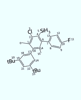 Cc1c(Cl)c([SiH3])c(-c2ccc(F)cc2)c(C)c1-c1cc(C(C)(C)C)cc(C(C)(C)C)c1